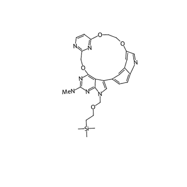 CNc1nc2c3c(cn(COCC[Si](C)(C)C)c3n1)-c1ccc3ncc(cc3c1)OCCOc1ccnc(n1)CO2